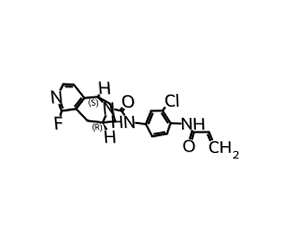 C=CC(=O)Nc1ccc(NC(=O)N2[C@@H]3CC[C@H]2c2ccnc(F)c2C3)cc1Cl